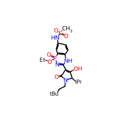 CCOP1(=O)N=C(C2=C(O)C(C(C)C)N(CCC(C)(C)C)C2=O)Nc2ccc(NS(C)(=O)=O)cc21